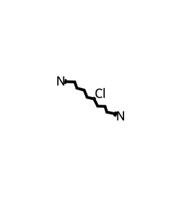 N#CCCCCC(Cl)CCCC#N